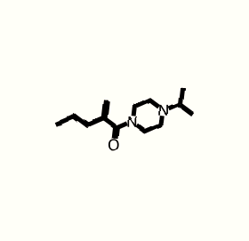 C=C(CCC)C(=O)N1CCN(C(C)C)CC1